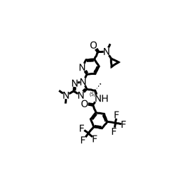 C[C@H](NC(=O)c1cc(C(F)(F)F)cc(C(F)(F)F)c1)c1nc(N(C)C)nn1-c1ccc(C(=O)N(C)C2CC2)cn1